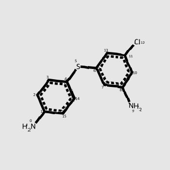 Nc1ccc(Sc2cc(N)cc(Cl)c2)cc1